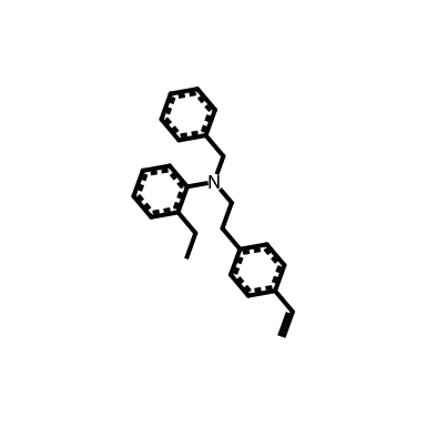 C=Cc1ccc(CCN(Cc2ccccc2)c2ccccc2CC)cc1